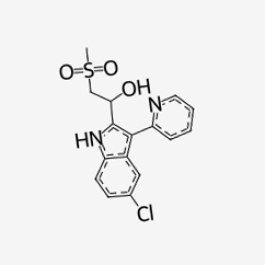 CS(=O)(=O)CC(O)c1[nH]c2ccc(Cl)cc2c1-c1ccccn1